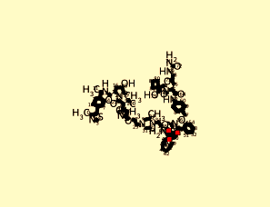 Cc1ncsc1-c1ccc([C@H](C)NC(=O)[C@@H]2C[C@@H](O)CN2C(=O)[C@@H](c2cc(OCCN3CCN(CCOc4cc(N5C6CCC5CN(c5cc(-c7ccccc7OCc7ccc(NC(=O)[C@H](CCCNC(N)=O)NC(=O)C8(C(=O)O)CCC8)cc7)nnc5N)C6)ccn4)[C@H](C)C3)no2)C(C)C)cc1